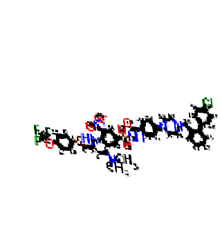 CN(C)CC[C@H](CSc1ccc(OC(F)(F)F)cc1)Nc1ccc(S(=O)(=O)NC(=O)c2ccc(N3CCN(Cc4ccccc4-c4ccc(Cl)cc4)CC3)cc2)cc1[N+](=O)[O-]